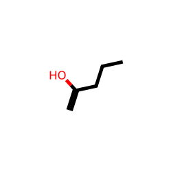 C=C(O)CCC